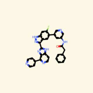 O=C(Cc1ccccc1)Nc1cncc(-c2cc3c(-c4nc5c(-c6ccncc6)nccc5[nH]4)n[nH]c3cc2F)c1